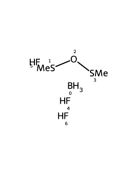 B.CSOSC.F.F.F